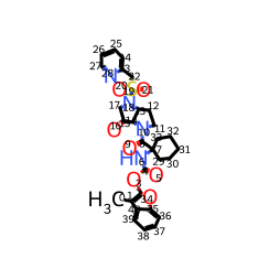 Cc1c(OC(=O)NC2(C(=O)N3CCC4C3C(=O)CN4S(=O)(=O)Cc3ccccn3)CCCCC2)oc2ccccc12